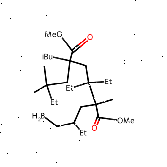 BCC(CC)CC(C)(C(=O)OC)C(CC)(CC)CC(CC(C)(C)CC)(C(=O)OC)C(C)CC